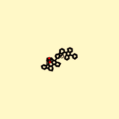 c1ccc(-c2c3ccccc3c(-c3cccc4c3oc3cc(-c5c6ccccc6c(-c6cccc7c8ccccc8n(-c8ccccc8)c67)c6ccccc56)ccc34)c3ccccc23)cc1